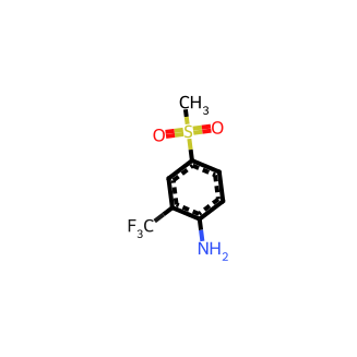 CS(=O)(=O)c1ccc(N)c(C(F)(F)F)c1